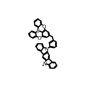 Cn1c2ccccc2c2cc3c(cc21)c1ccccc1n3-c1cccc(Cc2cc3c4c(c2)Oc2ccccc2B4c2ccccc2O3)c1